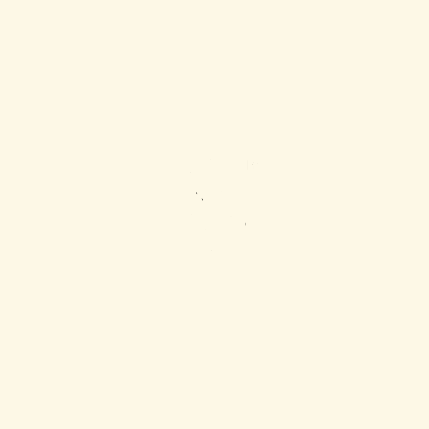 O=C1c2c(ccc3ccccc23)-n2c1c(Br)c1ccccc12